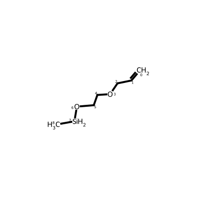 C=CCOCCO[SiH2]C